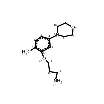 Cc1ccc(N2CCOCC2)cc1OCCCN